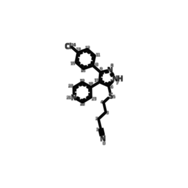 N#CCCCSc1[nH]nc(-c2ccc(Cl)cc2)c1-c1ccncc1